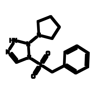 O=S(=O)(Cc1ccccc1)N1C=NNN1N1CCCC1